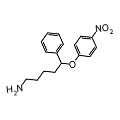 NCCCCC(Oc1ccc([N+](=O)[O-])cc1)c1ccccc1